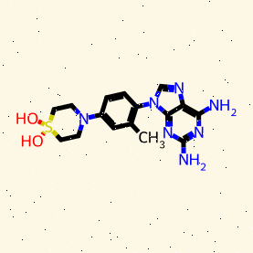 Cc1cc(N2CCS(O)(O)CC2)ccc1-n1cnc2c(N)nc(N)nc21